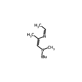 C/C=N\C(C)=C/N(C)C(C)(C)C